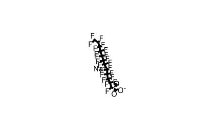 O=S(=O)([O-])C(F)C(F)(F)C(F)(F)C(F)(F)C(F)(F)C(F)(F)C(F)(F)C(F)(F)C(F)(F)C(F)(F)C(F)C(F)F.[Na+]